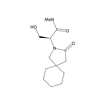 CNC(=O)[C@H](CO)N1CC2(CCCCC2)CC1=O